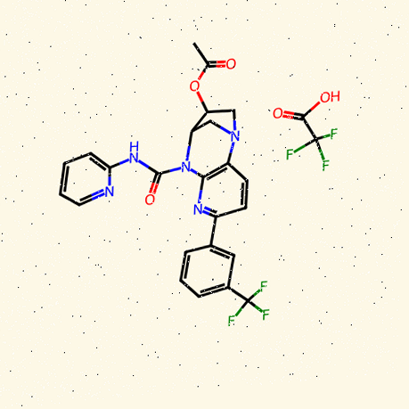 CC(=O)OC1CN2CC1N(C(=O)Nc1ccccn1)c1nc(-c3cccc(C(F)(F)F)c3)ccc12.O=C(O)C(F)(F)F